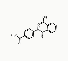 NC(=O)c1ccc(NC(=S)c2ccccc2C(=O)O)cc1